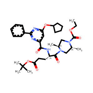 CCOC(=O)N1C[C@H](C)N(C(=O)[C@H](CCC(=O)OC(C)(C)C)NC(=O)c2cc(OC3CCCC3)nc(-c3ccccc3)n2)C[C@H]1C